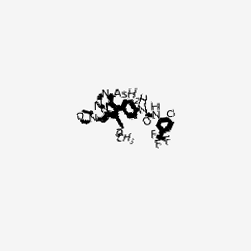 COCc1c(-c2ccc(NC(=O)Nc3cc(C(F)(F)F)ccc3Cl)cc2)c2c([AsH2])ncnn2c1CN1CCOCC1